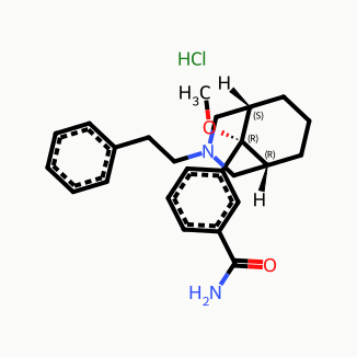 CO[C@@]1(c2cccc(C(N)=O)c2)[C@@H]2CCC[C@H]1CN(CCc1ccccc1)C2.Cl